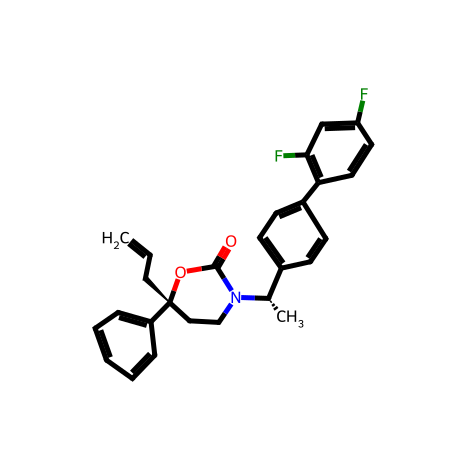 C=CC[C@]1(c2ccccc2)CCN([C@@H](C)c2ccc(-c3ccc(F)cc3F)cc2)C(=O)O1